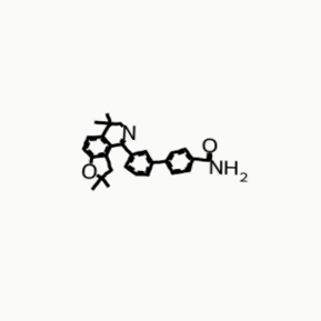 CC1(C)Cc2c(ccc3c2C(c2cccc(-c4ccc(C(N)=O)cc4)c2)=NCC3(C)C)O1